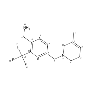 CC1=CCCN(Cc2cnc(CN)c(C(F)(F)F)c2)C1